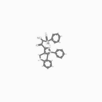 N#CC(C(=O)c1nn(-c2ccccc2)c2c1CSc1ccccc1-2)S(=O)(=O)c1ccccc1